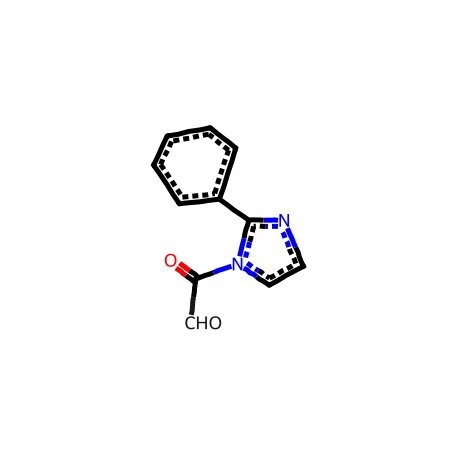 O=CC(=O)n1ccnc1-c1ccccc1